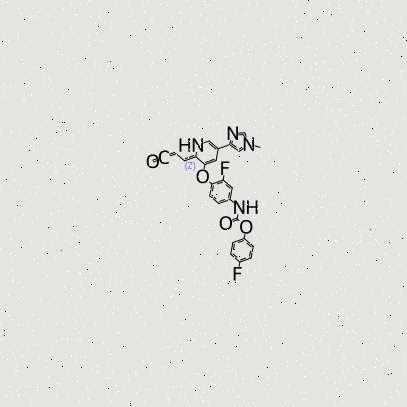 Cn1cnc(C2=CN/C(=C\C=C=O)C(Oc3ccc(NC(=O)Oc4ccc(F)cc4)cc3F)=C2)c1